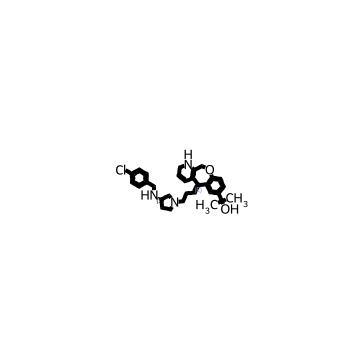 CC(C)(O)c1ccc2c(c1)/C(=C/CCN1CC[C@H](NCc3ccc(Cl)cc3)C1)C1=C(CO2)NCC=C1